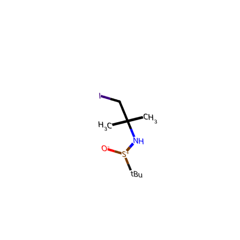 CC(C)(CI)N[S+]([O-])C(C)(C)C